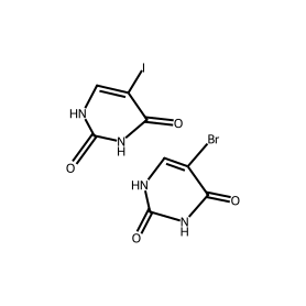 O=c1[nH]cc(Br)c(=O)[nH]1.O=c1[nH]cc(I)c(=O)[nH]1